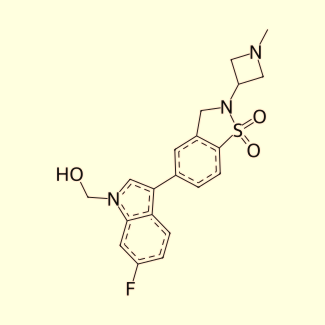 CN1CC(N2Cc3cc(-c4cn(CO)c5cc(F)ccc45)ccc3S2(=O)=O)C1